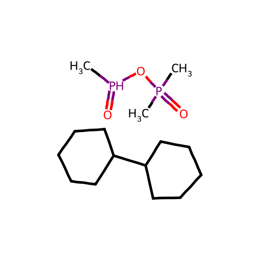 C1CCC(C2CCCCC2)CC1.C[PH](=O)OP(C)(C)=O